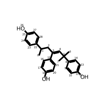 CC(CC(=CC(C)(C)c1ccc(O)cc1)c1ccc(O)cc1)c1ccc(O)cc1